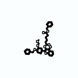 COCOc1cc(-c2oc3ccccc3c(=O)c2OC(=O)CCCCC(=O)OCc2ccccc2)ccc1OCc1ccccc1